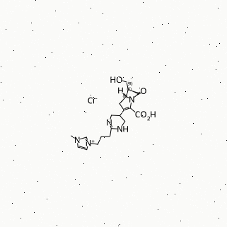 C[C@@H](O)[C@H]1C(=O)N2C(C(=O)O)=C(C3CN=C(CCC[n+]4ccn(C)c4)NC3)C[C@H]12.[Cl-]